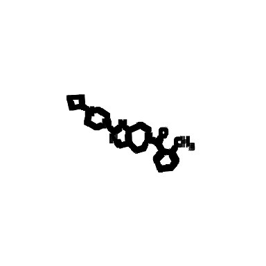 Cc1ccccc1C(=O)N1CCc2cnc(N3CCN(C4CCC4)CC3)nc2CC1